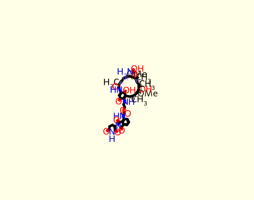 CO[C@H]1/C=C\C=C(/C)C(=O)NC2=CC(=O)C(NCCOC(=O)Nc3cccc4c3C(=O)N([C@@H]3CCC(=O)NC3=O)C4=O)=C(C[C@@H](C)C[C@H](OC)[C@@H](O)[C@@H](C)/C=C(\C)[C@@H]1OC(N)O)C2O